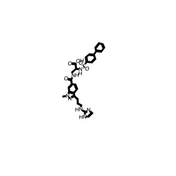 Cn1nc(CCCNc2ncc[nH]2)c2ccc(C(=O)NCC(NS(=O)(=O)c3ccc(-c4ccccc4)cc3)C(=O)O)cc21